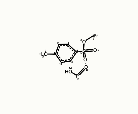 Cc1ccc(S(=O)(=O)OC(C)C)cc1.O=PO